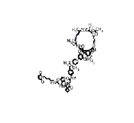 CC(=O)O[C@@H]1CC/C=C/O[C@H]2Oc3c(C)c(O)c4c(=O)c(c5oc6cc(N7CCC([N+](C)(C)Cc8ccc(NC(=O)CNC(=O)C9(C(=O)N[C@H](CC(=O)NCCCCCN%10C(=O)C=CC%10=O)c%10ccsc%10)CCC9)cc8)CC7)cc(O)c6nc-5c4c3C2=O)NC(=O)/C(C)=C\C=C\[C@H](C)CCC[C@H]1C